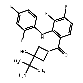 CC(C)(N)C1(O)CN(C(=O)c2ccc(F)c(F)c2Nc2ccc(I)cc2F)C1